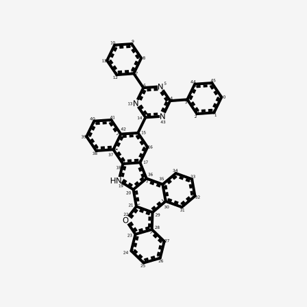 c1ccc(-c2nc(-c3ccccc3)nc(-c3cc4c([nH]c5c6oc7ccccc7c6c6ccccc6c45)c4ccccc34)n2)cc1